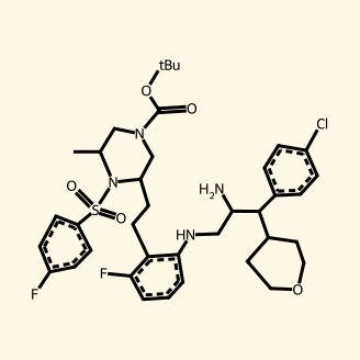 CC1CN(C(=O)OC(C)(C)C)CC(CCc2c(F)cccc2NCC(N)C(c2ccc(Cl)cc2)C2CCOCC2)N1S(=O)(=O)c1ccc(F)cc1